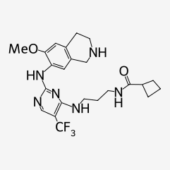 COc1cc2c(cc1Nc1ncc(C(F)(F)F)c(NCCCNC(=O)C3CCC3)n1)CNCC2